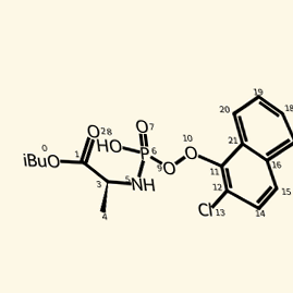 CC(C)COC(=O)[C@H](C)NP(=O)(O)OOc1c(Cl)ccc2ccccc12